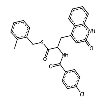 Cc1ccccc1CSC(=O)C(Cc1cc(=O)[nH]c2ccccc12)NC(=O)c1ccc(Cl)cc1